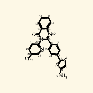 Nc1csc(-c2ccc(-c3nc4ccccc4c(=O)n3-c3ccc(Cl)cn3)cc2)n1